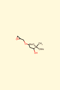 CO[Si](C)(OC)C(O)CCOCC1CO1